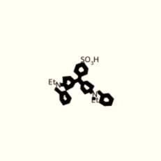 CCN(Cc1ccccc1)c1ccc(C(=C2C=CC(=[N+](CC)Cc3ccccc3)C=C2)c2ccc(S(=O)(=O)O)cc2)cc1